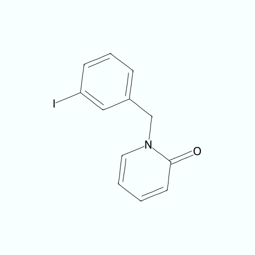 O=c1ccccn1Cc1cccc(I)c1